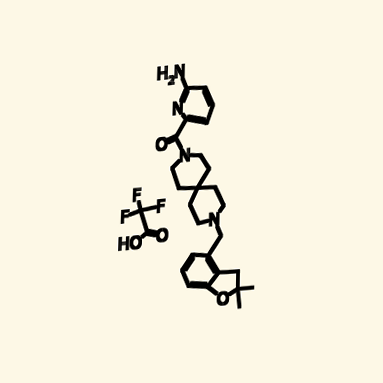 CC1(C)Cc2c(CN3CCC4(CC3)CCN(C(=O)c3cccc(N)n3)CC4)cccc2O1.O=C(O)C(F)(F)F